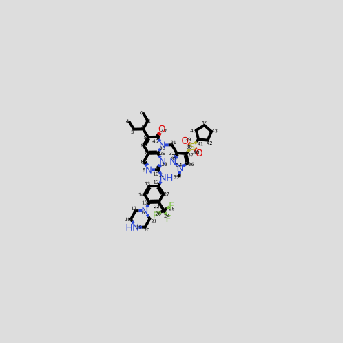 CCC(CC)c1cc2cnc(Nc3ccc(N4CCNCC4)c(C(F)(F)F)c3)nc2n(Cc2nn(C)cc2S(=O)(=O)C2CCCC2)c1=O